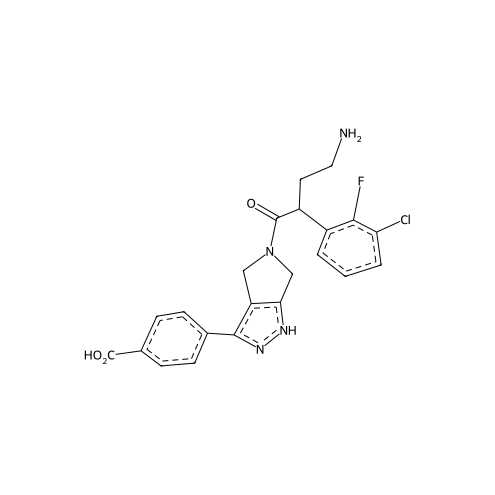 NCCC(C(=O)N1Cc2[nH]nc(-c3ccc(C(=O)O)cc3)c2C1)c1cccc(Cl)c1F